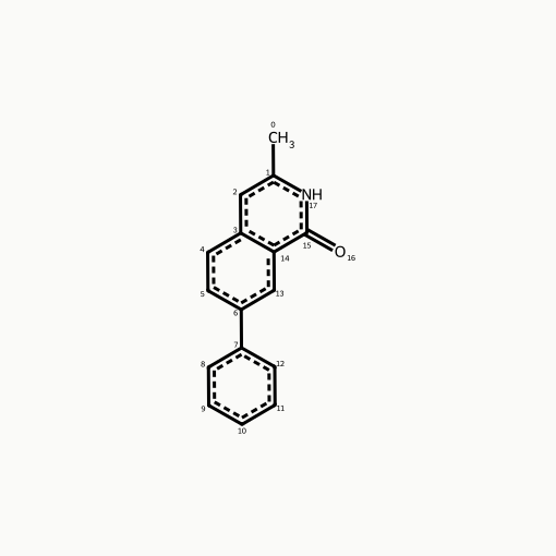 Cc1cc2ccc(-c3ccccc3)cc2c(=O)[nH]1